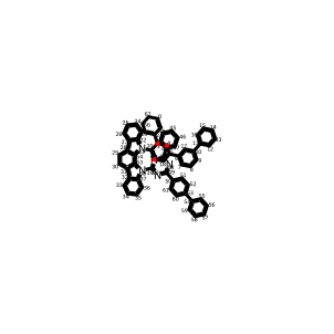 C1=CC(C2CC(c3cccc(-c4ccccc4)c3)=CC=C2n2c3ccccc3c3ccc4c5ccccc5n(-c5nc(-c6ccccc6)nc(-c6ccc(-c7ccccc7)cc6)n5)c4c32)=CCC1